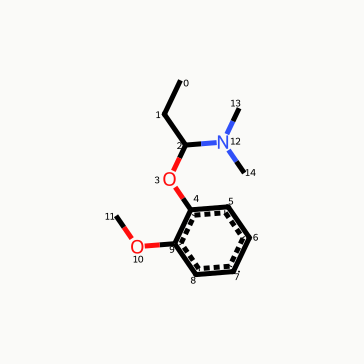 CCC(Oc1cc[c]cc1OC)N(C)C